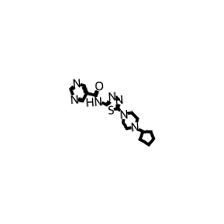 O=C(Nc1nnc(N2CCN(C3CCCC3)CC2)s1)c1cncnc1